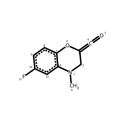 CN1CC(=C=O)Oc2ccc(F)cc21